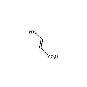 C[CH]CC=CC(=O)O